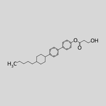 CCCCCC1CCC(c2ccc(-c3ccc(OC(=O)CCO)cc3)cc2)CC1